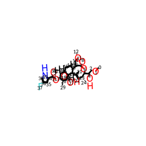 COC[C@@H](O)[C@H]1OC(=O)[C@H](COC)[C@H]2C=C[C@H]3[C@H]4O[C@]2(/C(C)=C/[C@H]1C)[C@@H]3[C@H](O)[C@@H](C)[C@H]4OC(=O)c1cc(F)c[nH]1